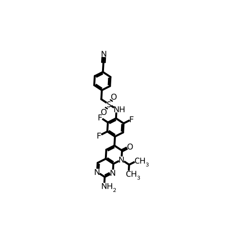 CC(C)n1c(=O)c(-c2cc(F)c(NS(=O)(=O)Cc3ccc(C#N)cc3)c(F)c2F)cc2cnc(N)nc21